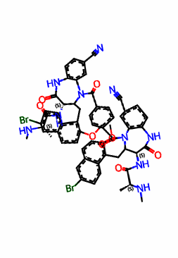 CN[C@@H](C)C(=O)N[C@@H]1C(=O)Nc2ccc(C#N)cc2N(C(=O)c2ccc(C(=O)N3c4cc(C#N)ccc4NC(=O)[C@@H](NC(=O)[C@H](C)NC)C3Cc3c(OC)ccc4cc(Br)ccc34)cc2)C1Cc1c(OC)ccc2cc(Br)ccc12